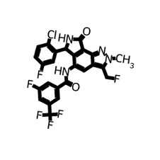 Cn1nc2c3c(c(NC(=O)c4cc(F)cc(C(F)(F)F)c4)cc2c1CF)C(c1cc(F)ccc1Cl)NC3=O